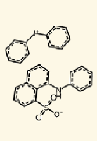 O=S(=O)([O-])c1cccc2cccc(Nc3ccccc3)c12.c1ccc([I+]c2ccccc2)cc1